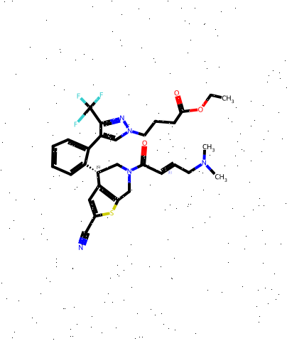 CCOC(=O)CCCn1cc(-c2ccccc2[C@@H]2CN(C(=O)/C=C/CN(C)C)Cc3sc(C#N)cc32)c(C(F)(F)F)n1